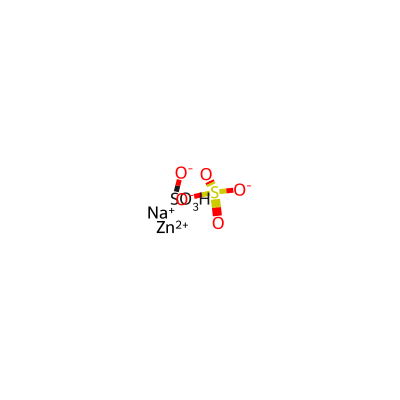 O=S(=O)([O-])O.O=S(=O)([O-])[O-].[Na+].[Zn+2]